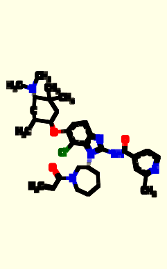 C=CC(=O)N1CCCC[C@@H](n2c(NC(=O)c3ccnc(C)c3)nc3ccc(O[C@@H]4CC(C)(C)[C@@H](N(C)C)CC4C)c(Cl)c32)C1